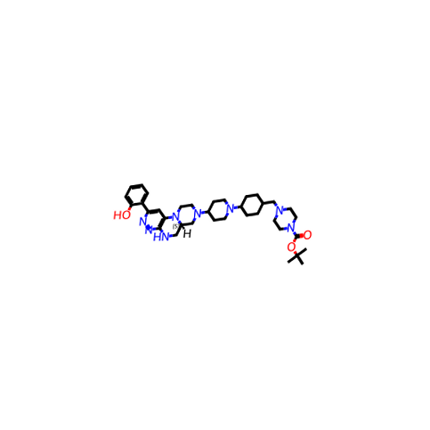 CC(C)(C)OC(=O)N1CCN(CC2CCC(N3CCC(N4CCN5c6cc(-c7ccccc7O)nnc6NC[C@H]5C4)CC3)CC2)CC1